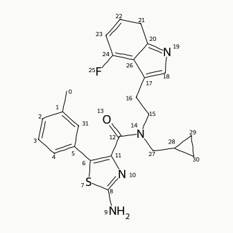 Cc1cccc(-c2sc(N)nc2C(=O)N(CCC2=CN=C3CC=CC(F)=C23)CC2CC2)c1